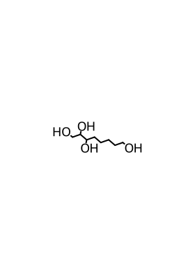 OCCCCCC(O)C(O)CO